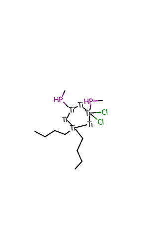 CCC[CH2][Ti]1([CH2]CCC)[Ti][Ti]([PH]C)[Ti][Ti]([Cl])([Cl])([PH]C)[Ti]1